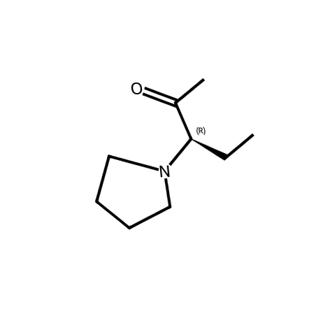 CC[C@H](C(C)=O)N1CCCC1